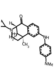 CNc1ccc(Nc2ccc3c(c2)[C@@]2(C)CCN(C4CC4)[C@H](C3=O)[C@@H]2C)cc1